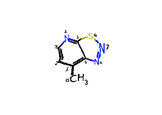 Cc1ccnc2snnc12